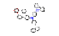 c1ccc(-c2ccccc2-c2c(-c3ccccc3)cccc2-c2ccc(N(c3ccc(-c4cccc5ccccc45)cc3)c3ccc(-n4c5ccccc5c5ccccc54)cc3)cc2)cc1